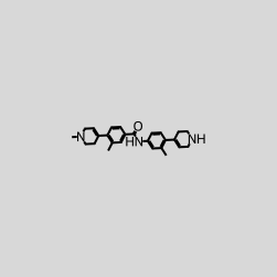 Cc1cc(NC(=O)c2ccc(C3=CCN(C)CC3)c(C)c2)ccc1C1=CCNCC1